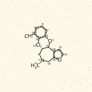 CN1CCC(Oc2cccc(Cl)c2Cl)c2ccoc2C1